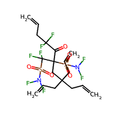 C=CCC(CC=C)(CC=C)CC(C(=O)C(F)(F)CC=C)(C(F)(F)S(=O)(=O)N(F)F)S(=O)(=O)N(F)F